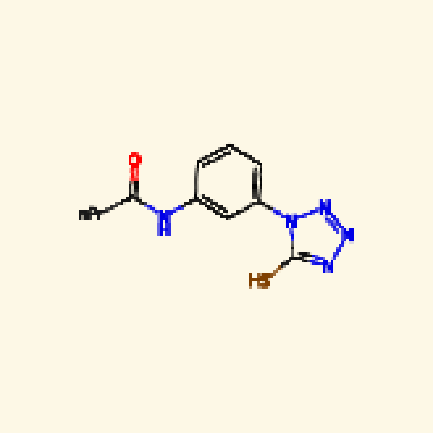 CCCC(=O)Nc1cccc(-n2nnnc2S)c1